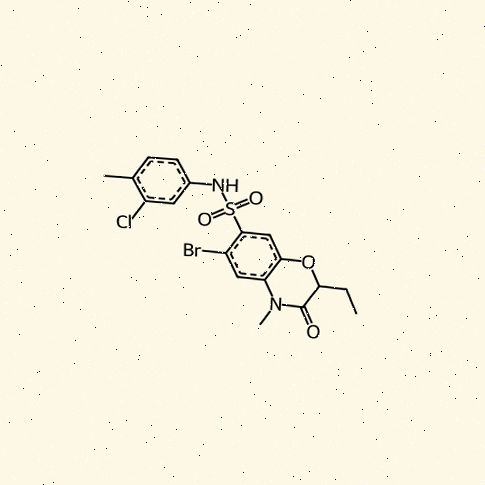 CCC1Oc2cc(S(=O)(=O)Nc3ccc(C)c(Cl)c3)c(Br)cc2N(C)C1=O